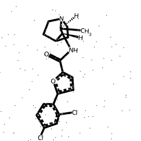 C[C@H]1[C@H](NC(=O)c2ccc(-c3ccc(Cl)cc3Cl)o2)C2CCN1CC2